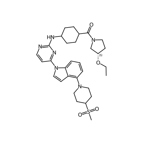 CCO[C@H]1CCN(C(=O)C2CCC(Nc3nccc(-n4ccc5c(N6CCC(S(C)(=O)=O)CC6)cccc54)n3)CC2)C1